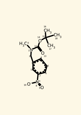 CN(Cc1cccc([N+](=O)[O-])c1)C(=O)OC(C)(C)C